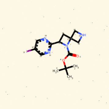 CC(C)(C)OC(=O)N1C(c2ncc(I)cn2)CC12CNC2